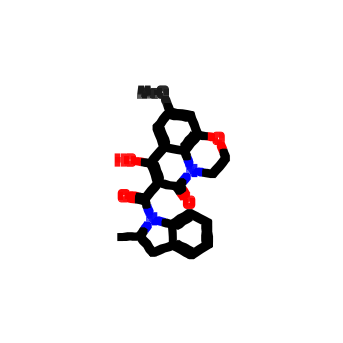 COc1cc2c3c(c1)c(O)c(C(=O)N1c4ccccc4CC1C)c(=O)n3CCO2